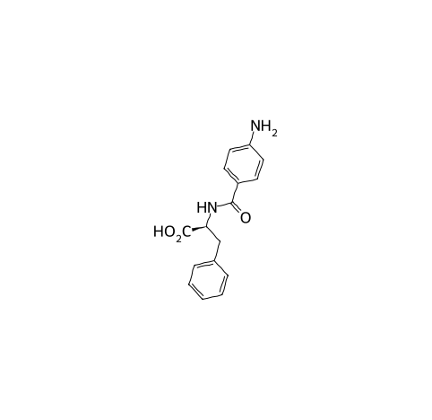 Nc1ccc(C(=O)N[C@@H](Cc2ccccc2)C(=O)O)cc1